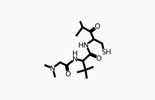 CC(C)C(=O)C(CS)NC(=O)C(NC(=O)CN(C)C)C(C)(C)C